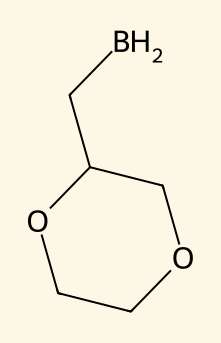 BCC1COCCO1